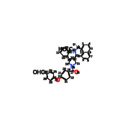 C[C@H](c1cccc2ccccc12)N(C[C@H]1CN(C(=O)c2ccc(Oc3ccc(C=O)cc3)cc2)C[C@@H]1c1ccccc1)C(=O)O